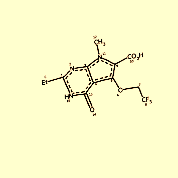 CCc1nc2c(c(OCC(F)(F)F)c(C(=O)O)n2C)c(=O)[nH]1